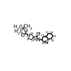 CC(C)(C)OC(=O)N1CC[C@H](C(=O)Nc2cnc3ccccc3c2)C1